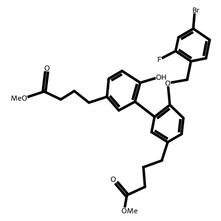 COC(=O)CCCc1ccc(O)c(-c2cc(CCCC(=O)OC)ccc2OCc2ccc(Br)cc2F)c1